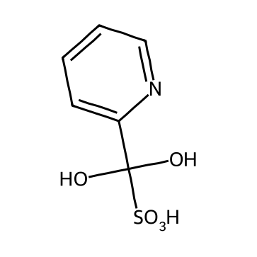 O=S(=O)(O)C(O)(O)c1ccccn1